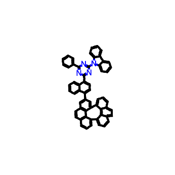 c1ccc(-c2nc(-c3ccc(-c4cc5ccc6cccc7c8cccc9ccc%10cccc(c(c4)c5c67)c%10c98)c4ccccc34)nc(-n3c4ccccc4c4ccccc43)n2)cc1